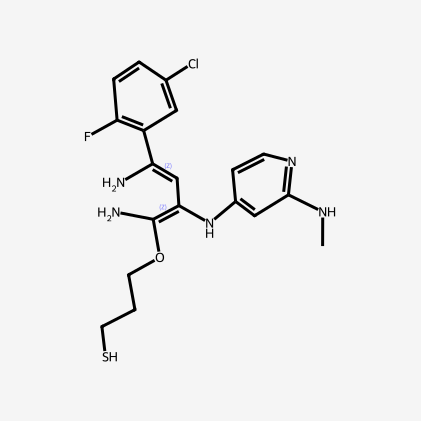 CNc1cc(NC(/C=C(\N)c2cc(Cl)ccc2F)=C(/N)OCCCS)ccn1